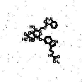 CC(=O)NCCc1c[nH]c2ccc(O[C@@H]3O[C@H](COC(=O)c4ccccc4N)[C@@H](O)[C@H](OP(=O)(O)O)[C@H]3O)cc12